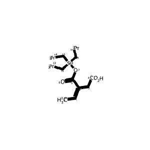 CC=C(CC(=O)O)C(=O)O[Si](CC(C)C)(CC(C)C)CC(C)C